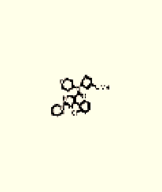 COc1cccc(N(C(=O)c2cnc(N3CCCCC3)nc2-c2ccccc2Cl)C2CCOCC2)c1